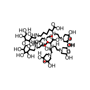 O=C(O)CN(CCN(CCN(CC(=O)O)CC(=O)O)C(CCCCNCC(O)C(O)C(OC1OC(CNCCCCC(C(=O)O)N(CCN(CC(=O)O)CC(=O)O)CCN(CC(=O)O)CC(=O)O)C(O)C(O)C1O)C(O)CO)C(=O)O)CC(=O)O